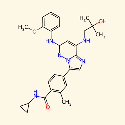 COc1ccccc1Nc1cc(NCC(C)(C)O)c2ncc(-c3ccc(C(=O)NC4CC4)c(C)c3)n2n1